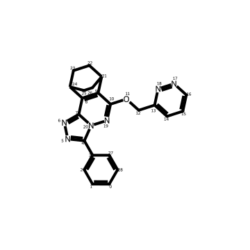 c1ccc(-c2nnc3c4c(c(OCc5cccnn5)nn23)C2CCC4CC2)cc1